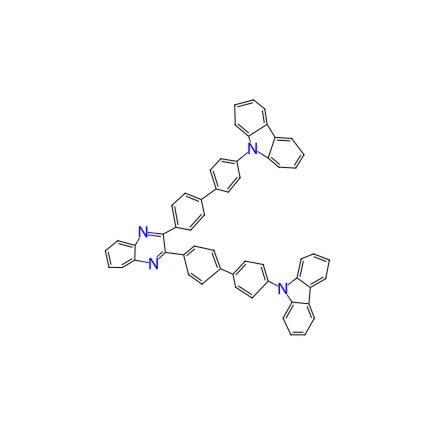 c1ccc2nc(-c3ccc(-c4ccc(-n5c6ccccc6c6ccccc65)cc4)cc3)c(-c3ccc(-c4ccc(-n5c6ccccc6c6ccccc65)cc4)cc3)nc2c1